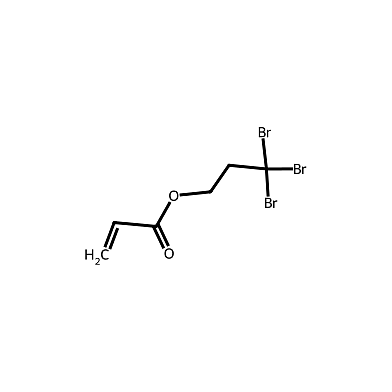 C=CC(=O)OCCC(Br)(Br)Br